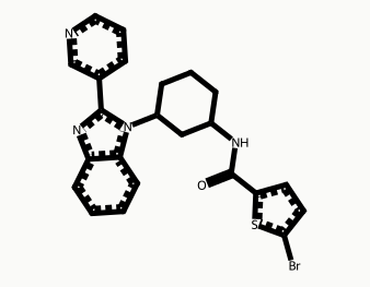 O=C(NC1CCCC(n2c(-c3cccnc3)nc3ccccc32)C1)c1ccc(Br)s1